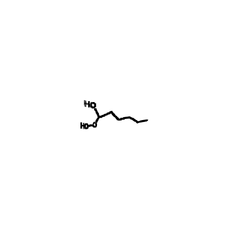 CCCCCC(O)OO